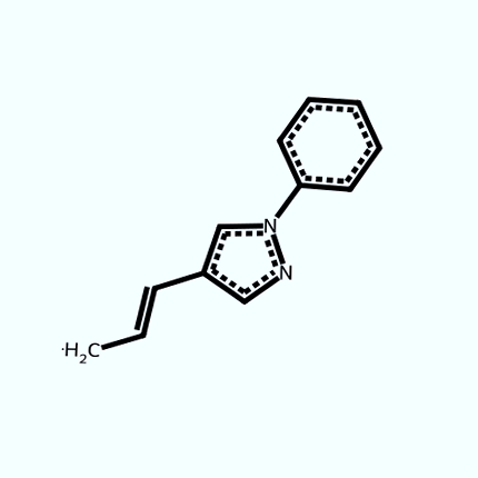 [CH2]/C=C/c1cnn(-c2ccccc2)c1